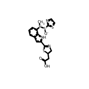 CN(c1cccc2cc(C3=NCC(CC(=O)O)S3)[nH]c12)[S+]([O-])c1nccs1